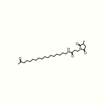 CC(=O)CCCCCCCCCCCCCCCNC(=O)CCN1C(=O)CC(C)C1=O